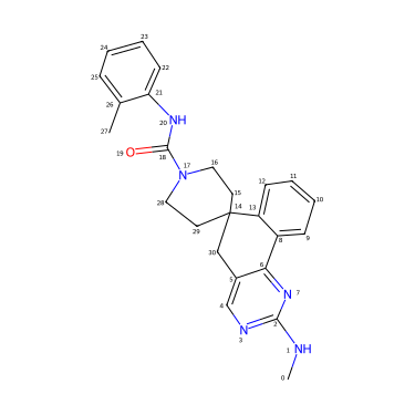 CNc1ncc2c(n1)-c1ccccc1C1(CCN(C(=O)Nc3ccccc3C)CC1)C2